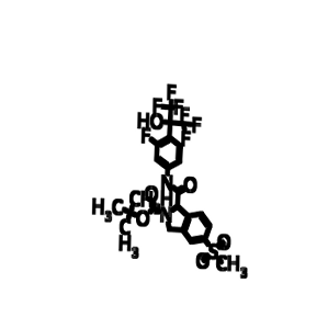 CC(C)(C)OC(=O)N1Cc2cc(S(C)(=O)=O)ccc2C1C(=O)Nc1ccc(C(O)(C(F)(F)F)C(F)(F)F)c(F)c1